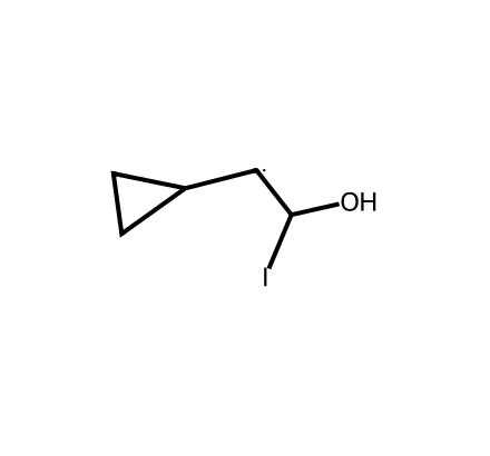 OC(I)[CH]C1CC1